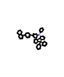 c1ccc(N(c2ccc(-c3ccc(-c4cccc5ccccc45)cc3)cc2)c2cccc3c2-c2ccccc2C3(c2ccccc2)c2ccccc2)cc1